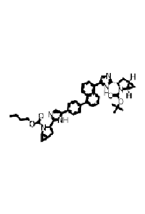 CCCCOC(=O)N1C(c2ncc(-c3ccc(-c4cccc5c(-c6cnc([C@@H]7C[C@H]8C[C@H]8N7C(=O)OC(C)(C)C)[nH]6)cccc45)cc3)[nH]2)CC2CC21